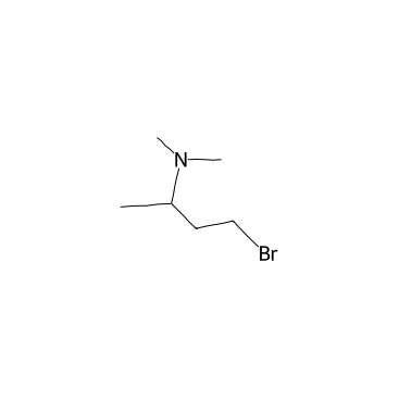 CC(CCBr)N(C)C